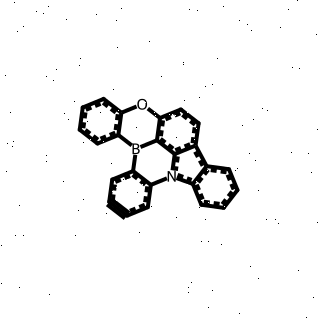 c1cc2c(cc#1)-n1c3ccccc3c3ccc4c(c31)B2c1ccccc1O4